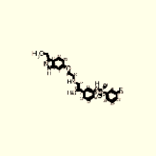 CCc1n[nH]c2cc(OCCNCC(O)c3cccc(NS(=O)(=O)c4cccc(F)c4)c3)ccc12